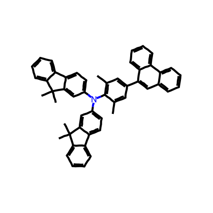 Cc1cc(-c2cc3ccccc3c3ccccc23)cc(C)c1N(c1ccc2c(c1)C(C)(C)c1ccccc1-2)c1ccc2c(c1)C(C)(C)c1ccccc1-2